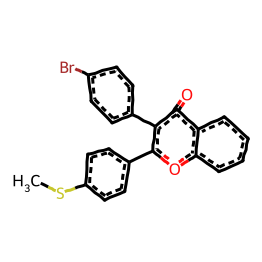 CSc1ccc(-c2oc3ccccc3c(=O)c2-c2ccc(Br)cc2)cc1